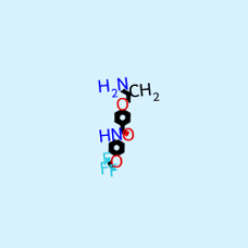 C=C(CN)COc1ccc(C(=O)Nc2ccc(OC(F)(F)F)cc2)cc1